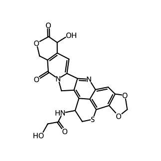 O=C(CO)NC1CSc2c3c(cc4nc5c(c1c24)Cn1c-5cc2c(c1=O)COC(=O)C2O)OCO3